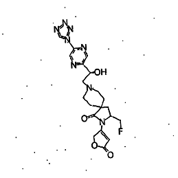 O=C1C=C(N2C(=O)C3(CCN(C[C@H](O)c4cnc(-n5cnnn5)cn4)CC3)CC2CF)CO1